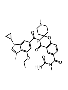 CCOc1cc(C(=O)[C@@H]2C(=O)c3cc(C(=O)N(C)C(N)=O)ccc3OC23CCNCC3)cc2c1c(C)cn2C1CC1